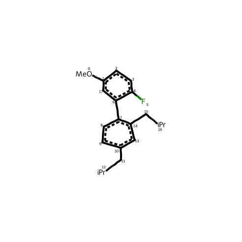 COc1ccc(F)c(-c2ccc(CC(C)C)cc2CC(C)C)c1